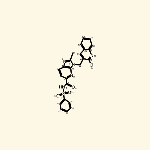 Cc1nc2ccc(C(=O)NS(=O)(=O)c3ccccc3)nc2n1Cc1cc2ccccc2nc1Cl